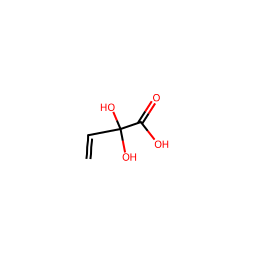 C=CC(O)(O)C(=O)O